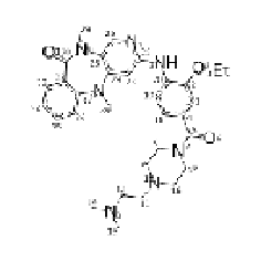 CCOc1cc(C(=O)N2CCN(CCN(C)C)CC2)ccc1Nc1cc2c(cn1)N(C)C(=O)c1ccccc1N2C